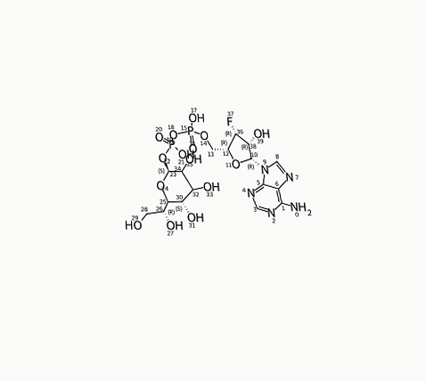 Nc1ncnc2c1ncn2[C@@H]1O[C@H](COP(=O)(O)OP(=O)(O)O[C@@H]2OC([C@H](O)CO)[C@@H](O)C(O)C2O)[C@H](F)[C@@H]1O